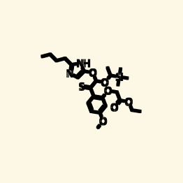 CCCCc1ncc(OC(OC(C)[Si](C)(C)C)C(=S)c2ccc(OC)cc2OCC(=O)OCC)[nH]1